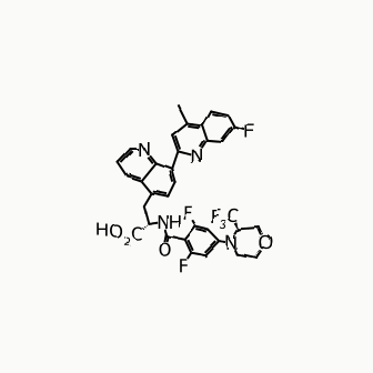 Cc1cc(-c2ccc(C[C@H](NC(=O)c3c(F)cc(N4CCOC[C@@H]4C(F)(F)F)cc3F)C(=O)O)c3cccnc23)nc2cc(F)ccc12